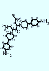 CN(C)CC(C(=O)C(CN(C)C)N1CCC(c2ccc(N)cc2)CC1)N1CCC(c2ccc(N)cc2)CC1